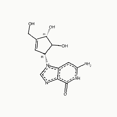 Nc1cc2c(ncn2[C@@H]2C=C(CO)[C@H](O)C2O)c(=O)[nH]1